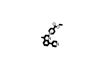 CCOC(=O)C1CCN(c2cc(C)c3cccc(-c4ccncc4)c3n2)CC1